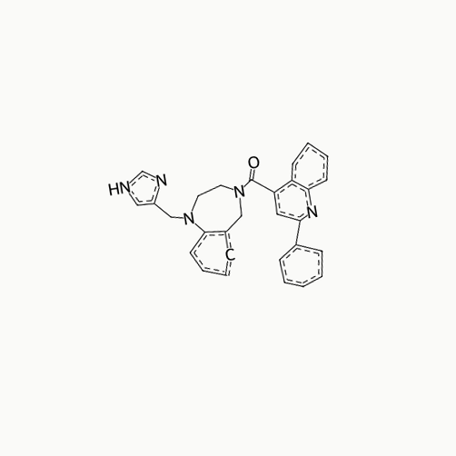 O=C(c1cc(-c2ccccc2)nc2ccccc12)N1CCN(Cc2c[nH]cn2)c2ccccc2C1